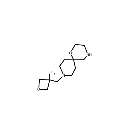 CC1(CN2CCC3(CC2)CNCCO3)COC1